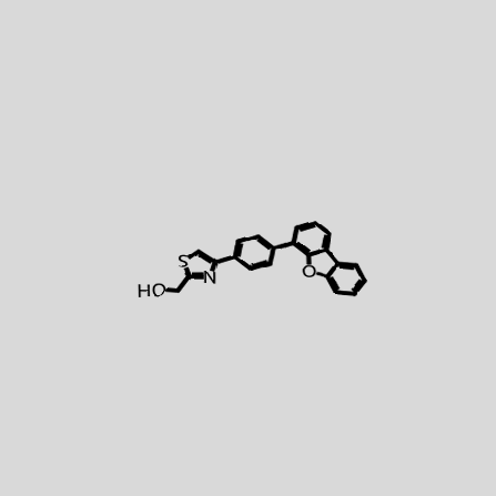 OCc1nc(-c2ccc(-c3cccc4c3oc3ccccc34)cc2)cs1